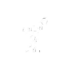 C=C/C=C(\C=N)C1CC=c2c(N)c(C(=O)N3CCCc4ccccc43)sc2=N1